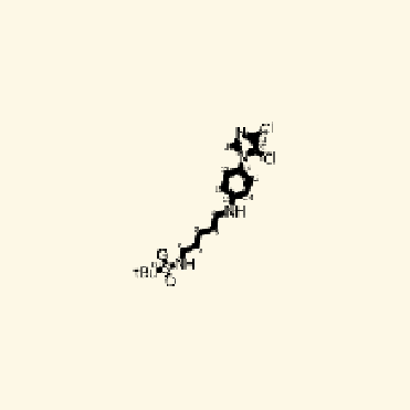 CC(C)(C)S(=O)(=O)NCCCCCNc1ccc(-n2cnc(Cl)c2Cl)cc1